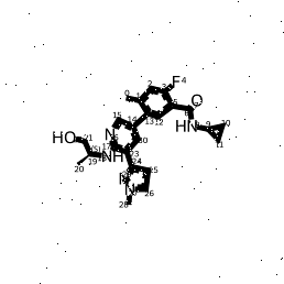 Cc1cc(F)c(C(=O)NC2CC2)cc1-c1cnc(N[C@@H](C)CO)c(-c2ccn(C)n2)c1